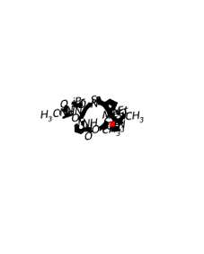 CCn1c(-c2cccnc2[C@H](C)OC)c2c3cc(ccc31)-c1csc(n1)C[C@H](NC(=O)C(C(C)C)N1CCN(C)C1=O)C(=O)N1CCC[C@H](N1)C(=O)OCC(C)(C)C2